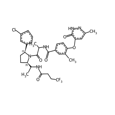 Cc1cc(Oc2ccc(C(=O)NC(C)C(=O)N3[C@@H](C(C)NC(=O)CCC(F)(F)F)CC[C@H]3c3cccc(Cl)c3)cc2C)c(=O)[nH]n1